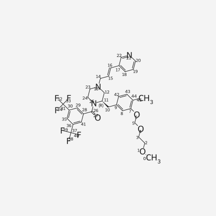 COCCOCOc1cc(C[C@@H]2CN(CC=Cc3cccnc3)CCN2C(=O)c2cc(C(F)(F)F)cc(C(F)(F)F)c2)ccc1C